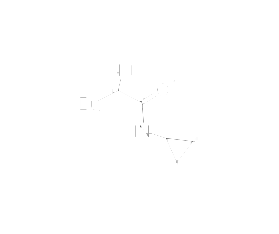 CC[C](CC)C(=O)NC1CC1